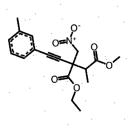 CCOC(=O)C(C#Cc1cccc(C)c1)(C[N+](=O)[O-])C(C)C(=O)OC